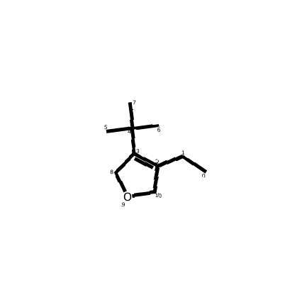 CCC1=C(C(C)(C)C)COC1